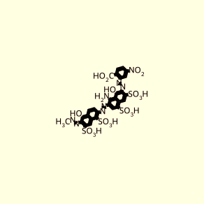 CN=Nc1c(S(=O)(=O)O)cc2c(S(=O)(=O)O)c(N=Nc3cc(S(=O)(=O)O)c4cc(S(=O)(=O)O)c(N=Nc5cc([N+](=O)[O-])ccc5C(=O)O)c(O)c4c3N)ccc2c1O